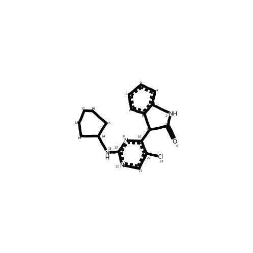 O=C1Nc2ccccc2C1c1nc(NC2CCCCC2)ncc1Cl